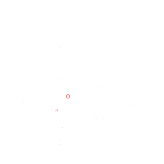 c1ccc2c(Cc3c(OCC4CO4)ccc4ccccc34)c(OCC3CC3)ccc2c1